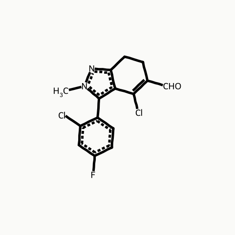 Cn1nc2c(c1-c1ccc(F)cc1Cl)C(Cl)=C(C=O)CC2